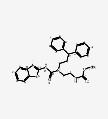 CC(C)(C)OC(=O)NCCN(CCC(c1ccccc1)c1ccccc1)C(=O)Nc1nc2ccccc2s1